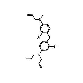 C=CCN(C)c1ccc(Cc2ccc(N(CC=C)CC=C)cc2Br)c(Br)c1